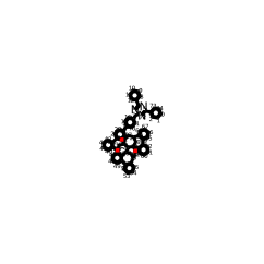 c1ccc(-c2nc(-c3ccccc3)nc(-c3ccc(-c4ccc5c(c4)C46CCC7CC8(CCC9CC(CC(C4)c4ccccc4-5)(c4ccccc4-c4ccccc49)C86)c4ccccc4-c4ccccc47)cc3)n2)cc1